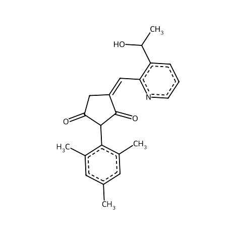 Cc1cc(C)c(C2C(=O)CC(=Cc3ncccc3C(C)O)C2=O)c(C)c1